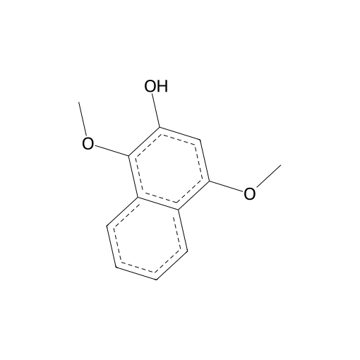 COc1cc(O)c(OC)c2ccccc12